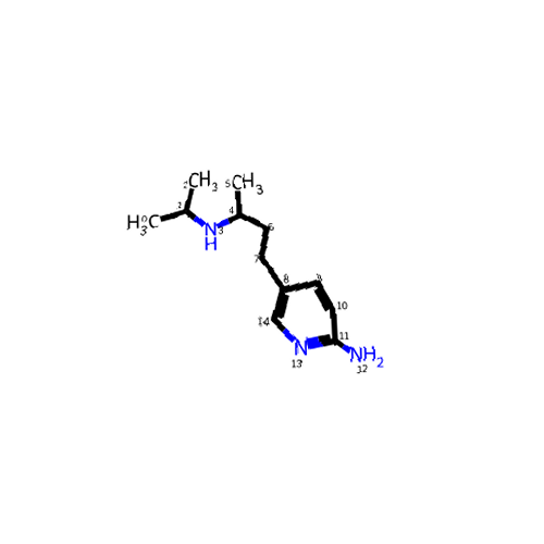 CC(C)NC(C)CCc1ccc(N)nc1